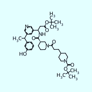 CC(c1cccc(O)c1)c1cncc(C(CC(=O)OC(C)(C)C)NC(=O)[C@@H]2CCCN(C(=O)CCC3CCN(C(=O)OC(C)(C)C)CC3)C2)c1